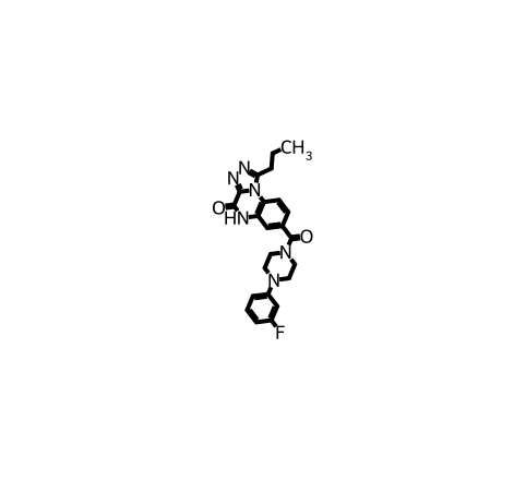 CCCc1nnc2c(=O)[nH]c3cc(C(=O)N4CCN(c5cccc(F)c5)CC4)ccc3n12